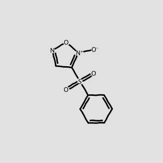 O=S(=O)(c1ccccc1)c1cno[n+]1[O-]